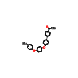 CC(C)(C)C(=O)c1ccc(-c2ccc(Oc3ccc(Oc4ccc(C(C)(C)C)cc4)cc3)cc2)cc1